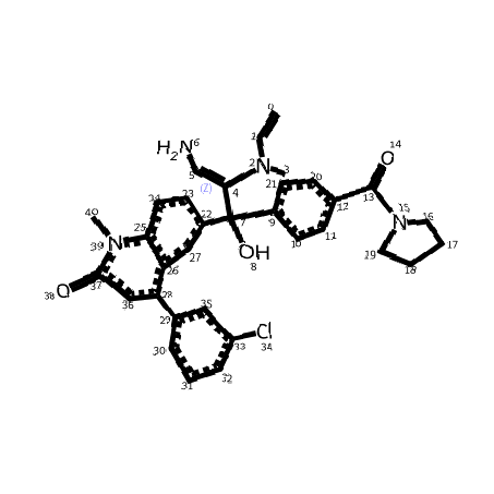 C=CN(C)/C(=C\N)C(O)(c1ccc(C(=O)N2CCCC2)cc1)c1ccc2c(c1)c(-c1cccc(Cl)c1)cc(=O)n2C